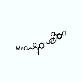 COCCCC(=O)N[C@H]1CC[C@H](CCN2CCN(c3ccc(Cl)cc3Cl)CC2)CC1